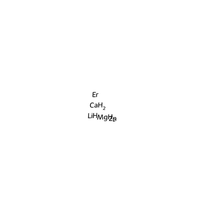 [CaH2].[Er].[LiH].[MgH2].[Zn]